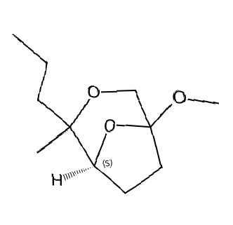 CCCC1(C)OCC2(OC)CC[C@@H]1O2